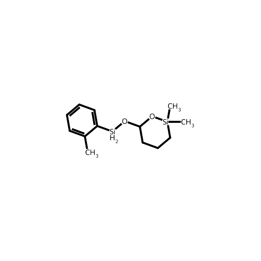 Cc1ccccc1[SiH2]OC1CCC[Si](C)(C)O1